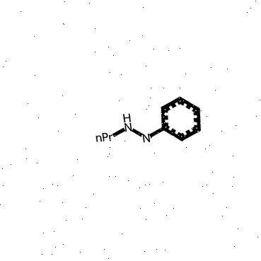 CCCN[N]c1ccccc1